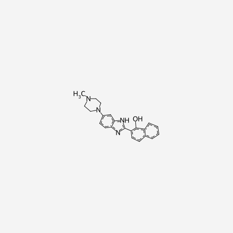 CN1CCN(c2ccc3nc(-c4ccc5ccccc5c4O)[nH]c3c2)CC1